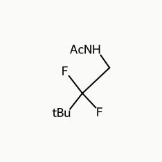 CC(=O)NCC(F)(F)C(C)(C)C